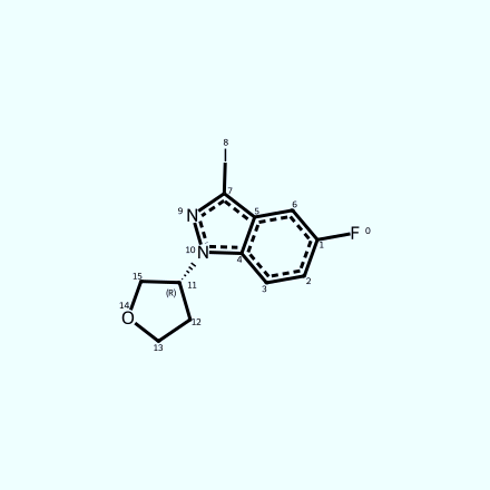 Fc1ccc2c(c1)c(I)nn2[C@@H]1CCOC1